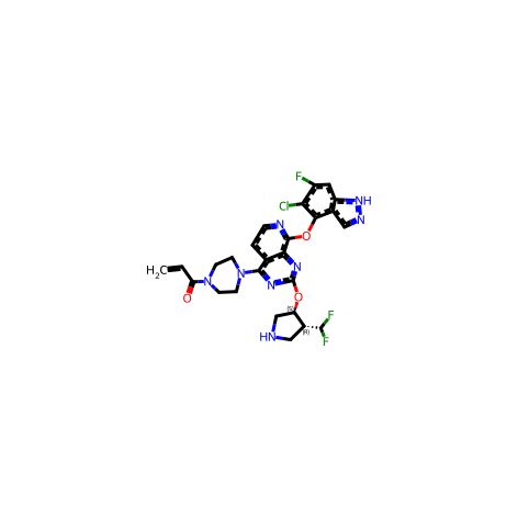 C=CC(=O)N1CCN(c2nc(O[C@@H]3CNC[C@H]3C(F)F)nc3c(Oc4c(Cl)c(F)cc5[nH]ncc45)nccc23)CC1